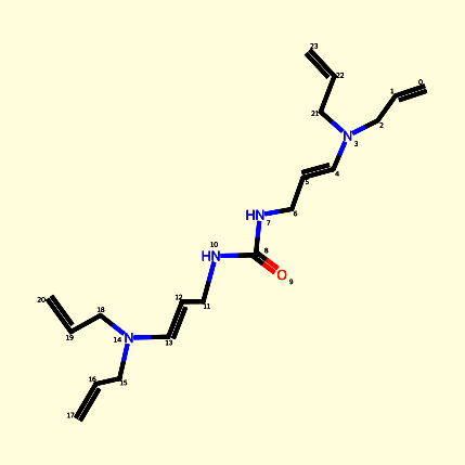 C=CCN(/C=C/CNC(=O)NC/C=C/N(CC=C)CC=C)CC=C